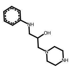 OC(CNc1ccccc1)CN1CCNCC1